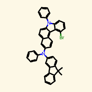 CC1(C)c2ccccc2-c2cc(N(c3ccccc3)c3ccc4c(ccc5c4c4c(Br)cccc4n5-c4ccccc4)c3)ccc21